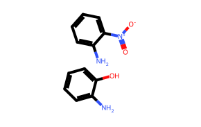 Nc1ccccc1O.Nc1ccccc1[N+](=O)[O-]